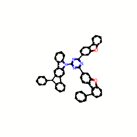 c1ccc(-c2cccc3oc4cc(-c5nc(-c6ccc7c(c6)oc6ccccc67)nc(-n6c7ccccc7c7cc8c(cc76)-c6ccccc6C8c6ccccc6)n5)ccc4c23)cc1